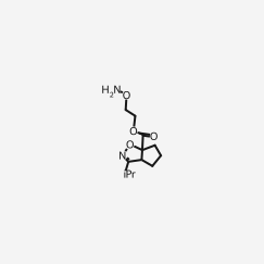 CC(C)C1=NOC2(C(=O)OCCON)CCCC12